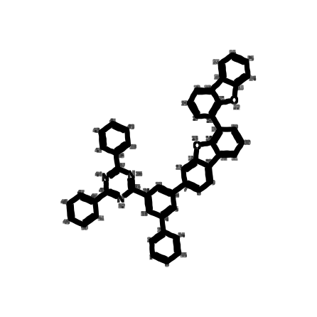 c1ccc(-c2cc(-c3ccc4c(c3)oc3c(-c5cccc6c5oc5ccccc56)cccc34)cc(-c3nc(-c4ccccc4)nc(-c4ccccc4)n3)c2)cc1